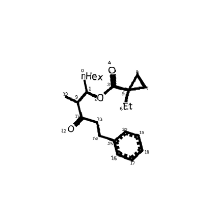 CCCCCCC(OC(=O)C1(CC)CC1)C(C)C(=O)CCc1ccccc1